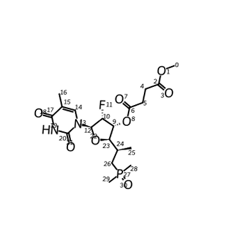 COC(=O)CCC(=O)O[C@H]1[C@@H](F)[C@H](n2cc(C)c(=O)[nH]c2=O)O[C@@H]1[C@@H](C)CP(C)(C)=O